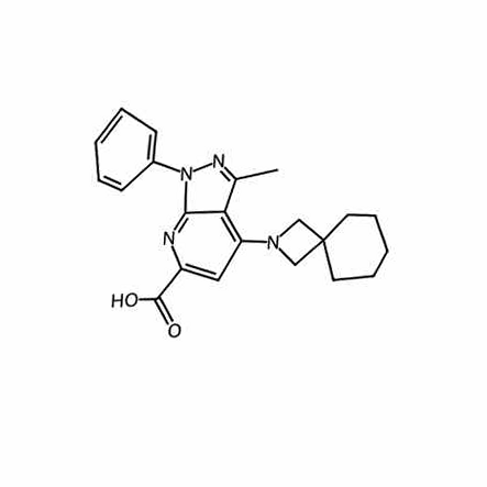 Cc1nn(-c2ccccc2)c2nc(C(=O)O)cc(N3CC4(CCCCC4)C3)c12